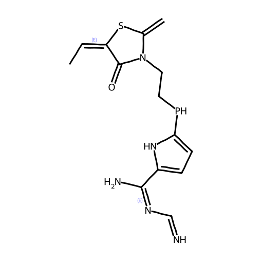 C=c1s/c(=C/C)c(=O)n1CCPc1ccc(/C(N)=N\C=N)[nH]1